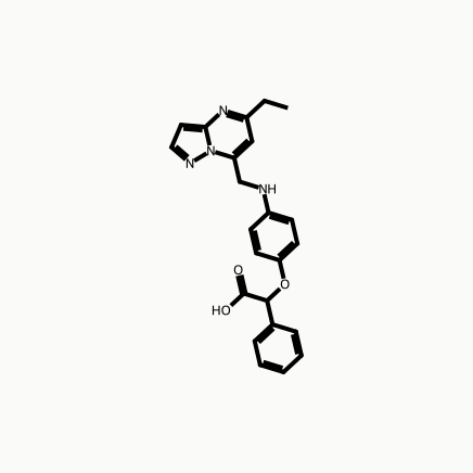 CCc1cc(CNc2ccc(OC(C(=O)O)c3ccccc3)cc2)n2nccc2n1